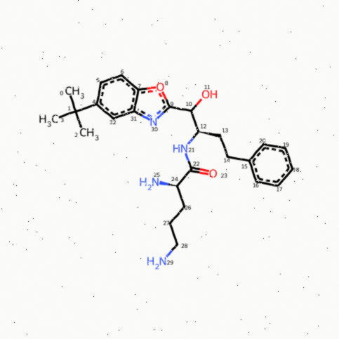 CC(C)(C)c1ccc2oc(C(O)[C@@H](CCc3ccccc3)NC(=O)[C@H](N)CCCN)nc2c1